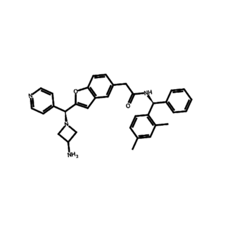 Cc1ccc([C@@H](NC(=O)Cc2ccc3oc([C@H](c4ccncc4)N4CC(N)C4)cc3c2)c2ccccc2)c(C)c1